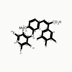 COc1ccc(/C=C(/C(=O)O)c2cc(C)c(C)c(C)c2)cc1Oc1c(F)c(F)nc(F)c1F